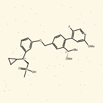 COc1cc(-c2ccc(COc3cccc([C@@H](CP(C)(=O)O)C4CC4)c3)cc2[C@@H](OC)C(C)(C)C)c(F)cn1